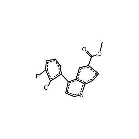 COC(=O)c1ccc2nccc(-c3cccc(F)c3Cl)c2c1